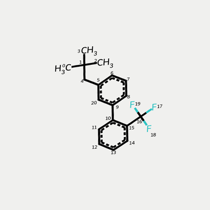 CC(C)(C)Cc1cccc(-c2ccccc2C(F)(F)F)c1